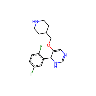 Fc1ccc(F)c([C@@H]2N[C]=NC=C2OCC2CCNCC2)c1